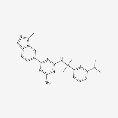 Cc1ncc2ccc(-c3nc(N)nc(NC(C)(C)c4cccc(N(C)C)n4)n3)cn12